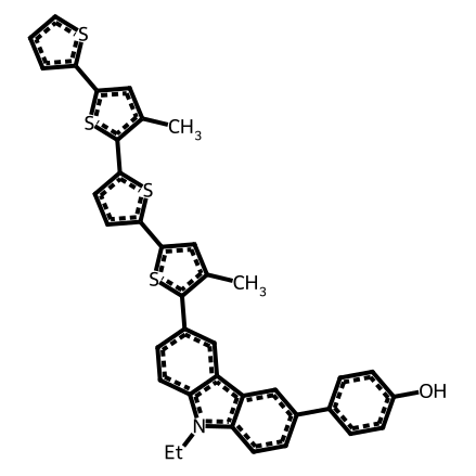 CCn1c2ccc(-c3ccc(O)cc3)cc2c2cc(-c3sc(-c4ccc(-c5sc(-c6cccs6)cc5C)s4)cc3C)ccc21